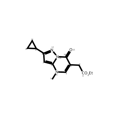 CCOC(=O)Cc1cn(C)c2cc(C3CC3)nn2c1=O